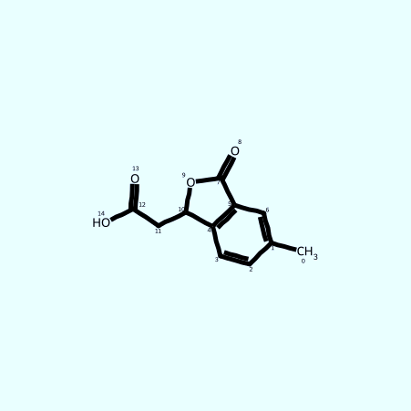 Cc1ccc2c(c1)C(=O)OC2CC(=O)O